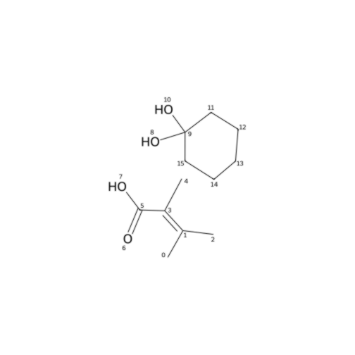 CC(C)=C(C)C(=O)O.OC1(O)CCCCC1